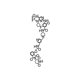 COc1cc(C(=O)NC2CCN(Cc3cncc(CNC(=O)COc4cccc5c4C(=O)N(C4CCC(=O)NC4=O)C5=O)c3)CC2)c(F)cc1Nc1ncc2c(n1)N(C1CCCC1)CC(F)(F)C(=O)N2C